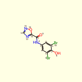 O=C(Nc1cc(Br)c(O)c(Br)c1)c1ncno1